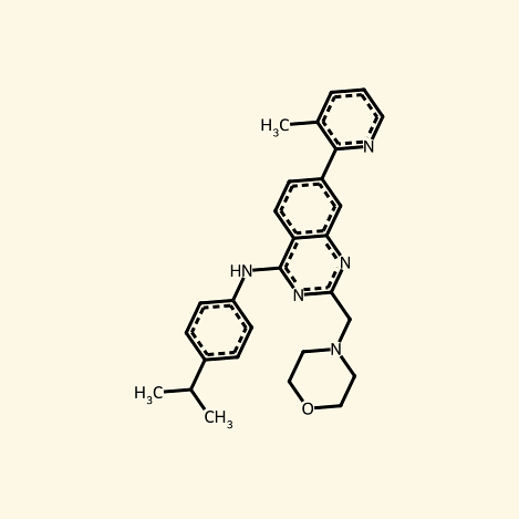 Cc1cccnc1-c1ccc2c(Nc3ccc(C(C)C)cc3)nc(CN3CCOCC3)nc2c1